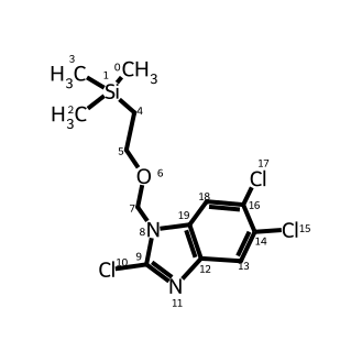 C[Si](C)(C)CCOCn1c(Cl)nc2cc(Cl)c(Cl)cc21